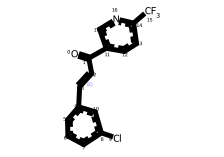 O=C(/C=C/c1cccc(Cl)c1)c1ccc(C(F)(F)F)nc1